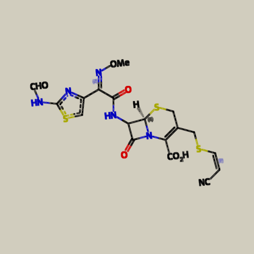 CO/N=C(\C(=O)NC1C(=O)N2C(C(=O)O)=C(CS/C=C\C#N)CS[C@H]12)c1csc(NC=O)n1